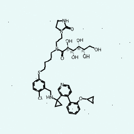 O=C1NCCN1CCN(CCCCSc1ccc(Cl)c(CNC2(c3cnccc3-c3ccccc3OC3CC3)CC2)c1)C(=O)[C@@H](O)[C@@H](O)[C@H](O)[C@@H](O)CO